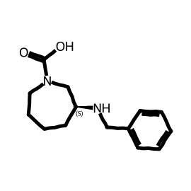 O=C(O)N1CCCC[C@H](NCc2ccccc2)C1